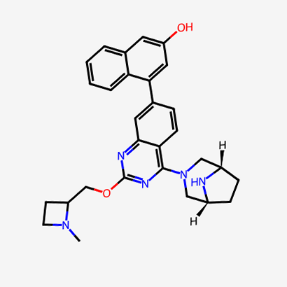 CN1CCC1COc1nc(N2C[C@H]3CC[C@@H](C2)N3)c2ccc(-c3cc(O)cc4ccccc34)cc2n1